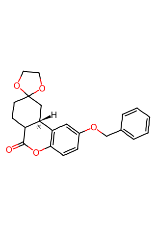 O=C1Oc2ccc(OCc3ccccc3)cc2[C@H]2CC3(CCC12)OCCO3